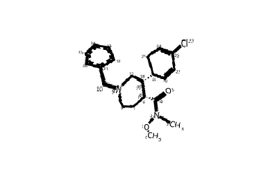 CON(C)C(=O)[C@@H]1CCN(Cc2ccccc2)C[C@@H]1C1C=CC(Cl)=CC1